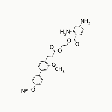 COc1cc(-c2ccc(OC#N)cc2)ccc1/C=C/C(=O)OCCOC(=O)c1ccc(N)cc1N